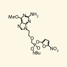 CCCCOP(=O)(COCCn1cnc2c(OC)nc(N)nc21)Oc1ccc([N+](=O)[O-])o1